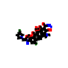 CN(C)[C@@H]1C(O)=C(C(N)=O)C(=O)[C@@]2(O)C(O)=C3C(=O)c4c(O)c(NC(=O)CN5CC[C@H](F)C5)cc(F)c4C[C@H]3C[C@@H]12